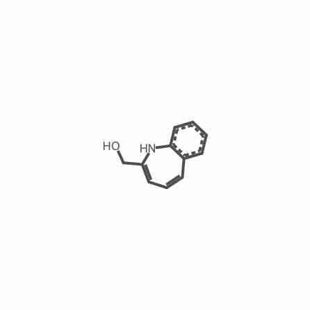 OCC1=CC=Cc2ccccc2N1